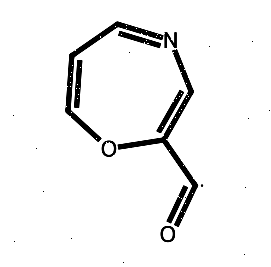 O=[C]C1=CN=CC=CO1